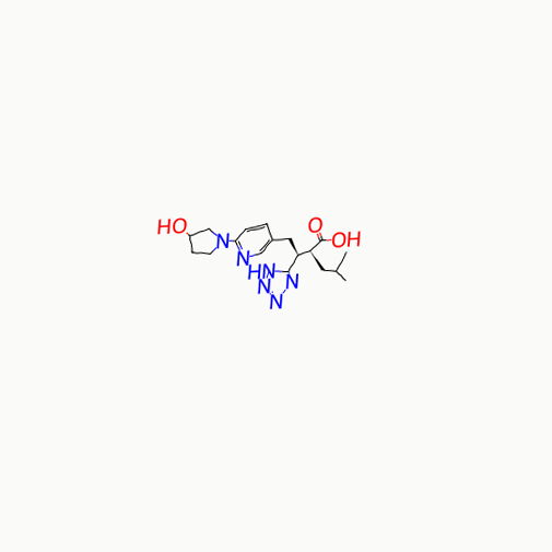 CC(C)C[C@H](C(=O)O)[C@H](Cc1ccc(N2CCC(O)C2)nc1)c1nnn[nH]1